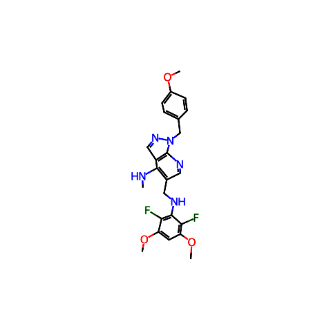 CNc1c(CNc2c(F)c(OC)cc(OC)c2F)cnc2c1cnn2Cc1ccc(OC)cc1